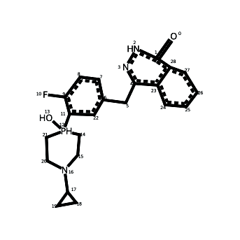 O=c1[nH]nc(Cc2ccc(F)c([PH]3(O)CCN(C4CC4)CC3)c2)c2ccccc12